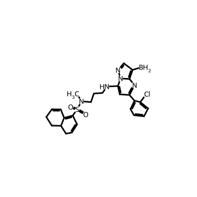 Bc1cnn2c(NCCCN(C)S(=O)(=O)C3=C4C=CCCC4CC=C3)cc(-c3ccccc3Cl)nc12